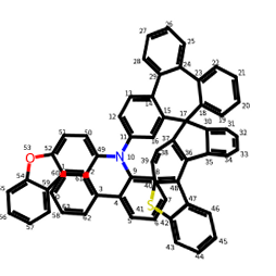 c1ccc(-c2ccccc2N(c2ccc3c(c2)C2(c4ccccc4-c4ccccc4-3)c3ccccc3-c3c2ccc2sc4ccccc4c32)c2ccc3oc4ccccc4c3c2)cc1